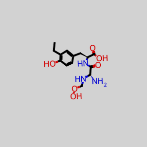 CCc1cc(C[C@H](NC(=O)[C@H](N)NCOO)C(=O)O)ccc1O